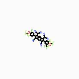 N#CC(C#N)=C1C(c2cc(F)c(OC(F)(F)F)c(F)c2)=C(C#N)c2cc3c(cc21)C(=C(C#N)C#N)C(c1cc(F)c(OC(F)(F)F)c(C(F)(F)F)c1)=C3C#N